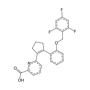 O=C(O)c1cccc(C2=C(c3ccccc3OCc3c(F)cc(F)cc3F)CCC2)n1